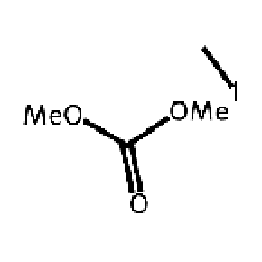 CI.COC(=O)OC